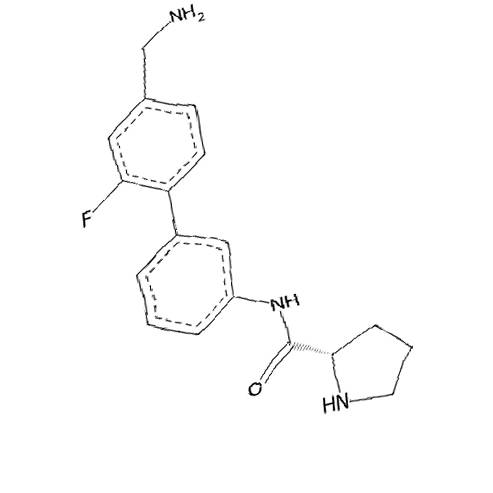 NCc1ccc(-c2cccc(NC(=O)[C@@H]3CCCN3)c2)c(F)c1